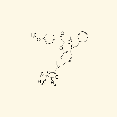 COc1ccc(C(=O)C(C)Oc2cc(CNC(=O)OC(C)(C)C)ccc2OCc2ccccc2)cc1